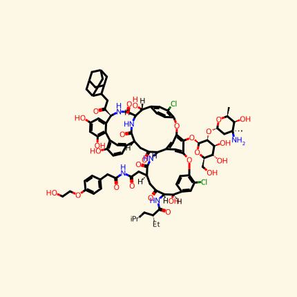 CC[C@H](CC(C)C)C(=O)N[C@H]1C(=O)C[C@@H](CC(=O)NC(=O)Cc2ccc(OCCO)cc2)C(=O)N[C@H]2C(=O)C[C@H]3C(=O)N[C@H](C(=O)N[C@H](C(=O)CC4C5CC6CC(C5)CC4C6)c4cc(O)cc(O)c4-c4cc3ccc4O)[C@H](O)c3ccc(c(Cl)c3)Oc3cc2cc(c3O[C@@H]2O[C@H](CO)[C@@H](O)[C@H](O)[C@H]2O[C@H]2C[C@](C)(N)[C@H](O)[C@H](C)O2)Oc2ccc(cc2Cl)[C@H]1O